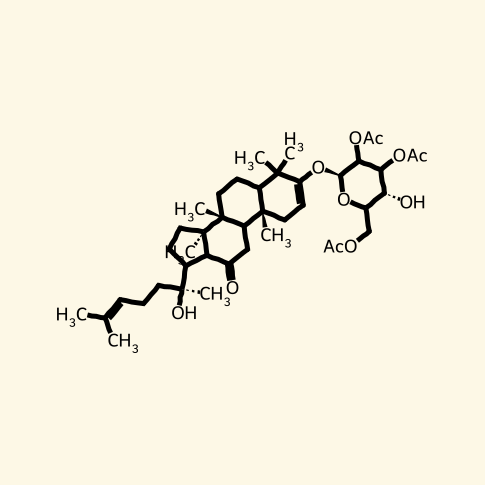 CC(=O)OCC1O[C@@H](OC2=CC[C@@]3(C)C(CC[C@]4(C)C3CC(=O)C3C([C@@](C)(O)CCC=C(C)C)CC[C@]34C)C2(C)C)C(OC(C)=O)C(OC(C)=O)[C@@H]1O